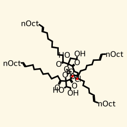 CCCCCCCCC=CCCCCCCCC(=O)C(OP(=O)(OCl)OC(C(=O)CCCCCCCC=CCCCCCCCC)(C(=O)CCCCCCCC=CCCCCCCCC)C(O)CO)(C(=O)CCCCCCCC=CCCCCCCCC)C(O)CO